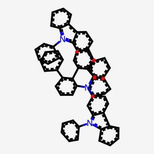 c1ccc(-c2ccccc2-c2c(-c3ccccc3)cccc2N(c2cccc(-c3ccc4c5ccccc5n(-c5ccccc5)c4c3)c2)c2ccc3c4ccccc4n(-c4ccccc4)c3c2)cc1